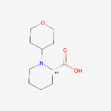 O=C(O)[C@@H]1CCCCN1C1CCOCC1